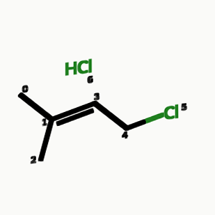 CC(C)=CCCl.Cl